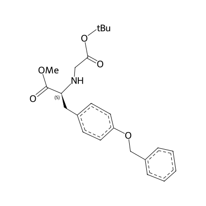 COC(=O)[C@H](Cc1ccc(OCc2ccccc2)cc1)NCC(=O)OC(C)(C)C